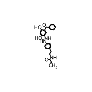 C=CC(=O)NCCc1ccc(NNc2cc(C(=O)c3ccccc3)c(O)cc2O)cc1